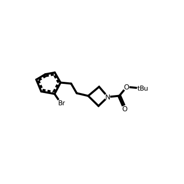 CC(C)(C)OC(=O)N1CC(CCc2ccccc2Br)C1